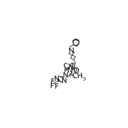 C[C@@H]1CN(c2cnc(C(F)(F)F)cn2)C[C@@H](C)N1C(=O)OCC1CC2(C1)CN(Cc1ccccc1)C2